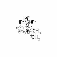 C=C[Si](C)(C)CN(C1CCCC1)[Si](C(C)C)(C(C)C)C(C)C